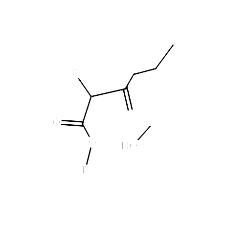 CCCC(=O)C(F)C(=O)OF.CO